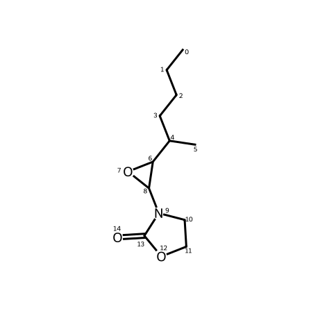 CCCCC(C)C1OC1N1CCOC1=O